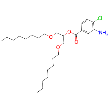 CCCCCCCCOCC(COCCCCCCCC)OC(=O)c1ccc(Cl)c(N)c1